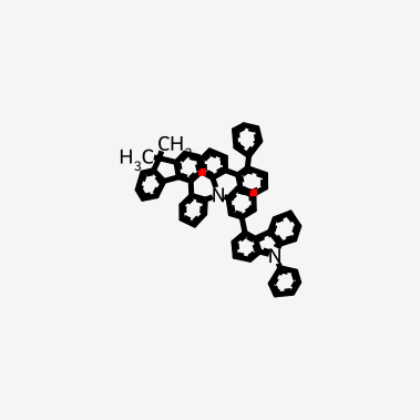 CC1(C)c2ccccc2-c2c(-c3ccccc3N(c3cccc(-c4cccc5c4c4ccccc4n5-c4ccccc4)c3)c3ccccc3-c3ccccc3-c3ccccc3)cccc21